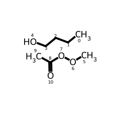 CCCCO.COOC(C)=O